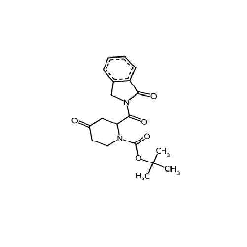 CC(C)(C)OC(=O)N1CCC(=O)CC1C(=O)N1Cc2ccccc2C1=O